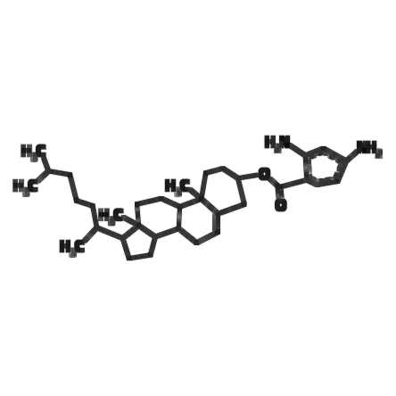 CC(C)CCCC(C)C1CCC2C3CC=C4CC(OC(=O)c5ccc(N)cc5N)CCC4(C)C3CCC12C